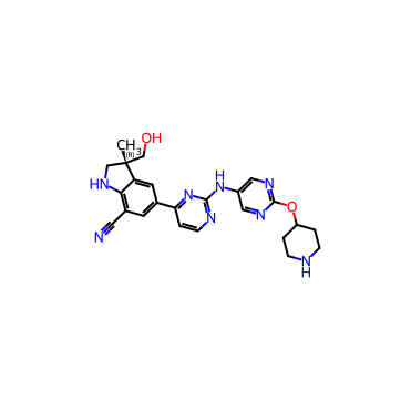 C[C@]1(CO)CNc2c(C#N)cc(-c3ccnc(Nc4cnc(OC5CCNCC5)nc4)n3)cc21